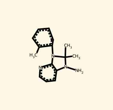 Cc1ccccc1N1c2ncccc2N(N)C1(C)C